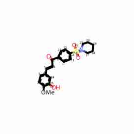 COc1ccc(/C=C/C(=O)c2ccc(S(=O)(=O)N3CCCCC3)cc2)cc1O